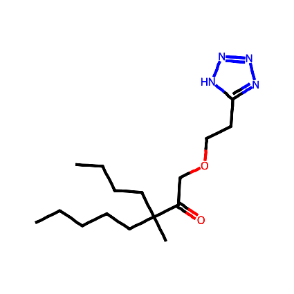 CCCCCC(C)(CCCC)C(=O)COCCc1nnn[nH]1